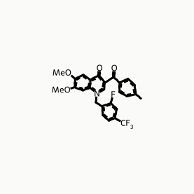 COc1cc2c(=O)c(C(=O)c3ccc(C)cc3)cn(Cc3ccc(C(F)(F)F)cc3F)c2cc1OC